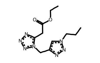 CCCn1cc(Cn2nnnc2CC(=O)OCC)nn1